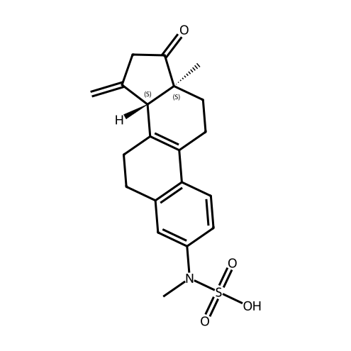 C=C1CC(=O)[C@@]2(C)CCC3=C(CCc4cc(N(C)S(=O)(=O)O)ccc43)[C@H]12